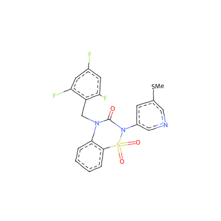 CSc1cncc(N2C(=O)N(Cc3c(F)cc(F)cc3F)c3ccccc3S2(=O)=O)c1